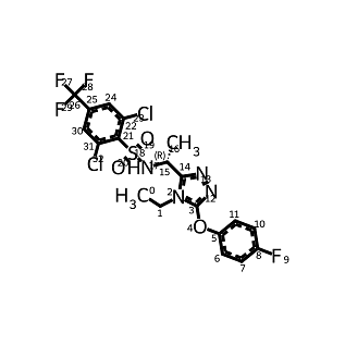 CCn1c(Oc2ccc(F)cc2)nnc1[C@@H](C)NS(=O)(=O)c1c(Cl)cc(C(F)(F)F)cc1Cl